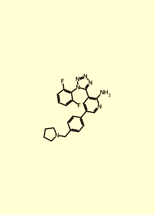 Nc1ncc(-c2ccc(CN3CCCC3)cc2)cc1-c1nnnn1-c1c(F)cccc1F